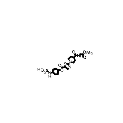 COC(=O)CNC(=O)C1CCN(c2ncc(C(=O)Oc3ccc(NC(=O)O)cc3)s2)CC1